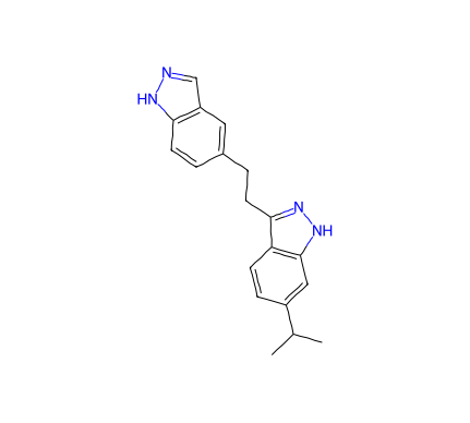 CC(C)c1ccc2c(CCc3ccc4[nH]ncc4c3)n[nH]c2c1